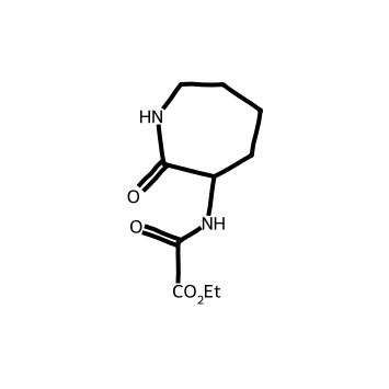 CCOC(=O)C(=O)NC1CCCCNC1=O